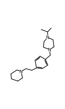 CC(C)N1CCN(Cc2ccc(CCN3CCCCC3)cc2)CC1